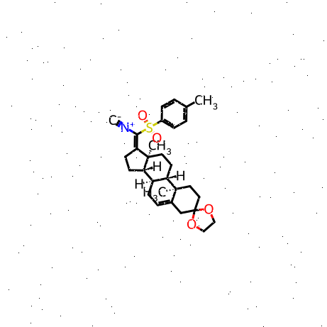 [C-]#[N+]/C(=C1\CC[C@H]2[C@@H]3CC=C4CC5(CC[C@]4(C)[C@H]3CC[C@]12C)OCCO5)S(=O)(=O)c1ccc(C)cc1